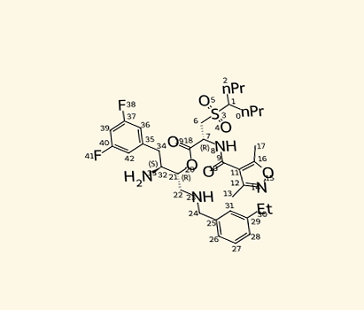 CCCC(CCC)S(=O)(=O)C[C@H](NC(=O)c1c(C)noc1C)C(=O)O[C@H](CNCc1cccc(CC)c1)[C@@H](N)Cc1cc(F)cc(F)c1